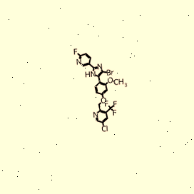 COc1cc(OCc2ncc(Cl)cc2C(F)(F)F)ccc1-c1[nH]c(-c2ccc(F)nc2)nc1Br